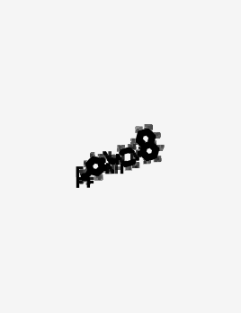 FC(F)(F)c1ccc2nc(N3CCN(c4cccc5ccccc45)CC3)[nH]c2c1